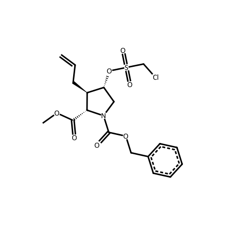 C=CC[C@@H]1[C@@H](C(=O)OC)N(C(=O)OCc2ccccc2)C[C@H]1OS(=O)(=O)CCl